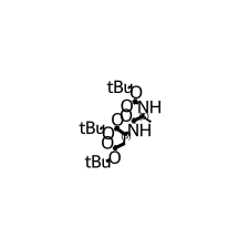 C[C@H](NC(=O)OC(C)(C)C)C(=O)N[C@@H](CC(=O)OC(C)(C)C)C(=O)OC(C)(C)C